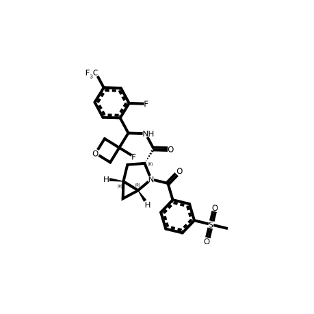 CS(=O)(=O)c1cccc(C(=O)N2[C@@H](C(=O)NC(c3ccc(C(F)(F)F)cc3F)C3(F)COC3)C[C@H]3C[C@H]32)c1